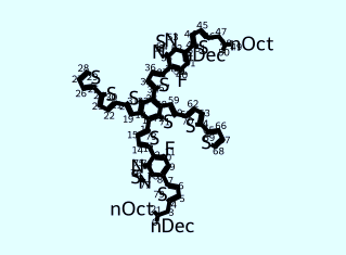 CCCCCCCCCCC(CCCCCCCC)Cc1ccc(-c2cc(F)c(-c3ccc(-c4c5cc(-c6ccc(-c7cccs7)s6)sc5c(-c5ccc(-c6c(F)cc(-c7ccc(CC(CCCCCCCC)CCCCCCCCCC)s7)c7nsnc67)s5)c5cc(-c6ccc(-c7cccs7)s6)sc45)s3)c3nsnc23)s1